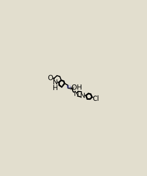 O=C1CCc2cc(/C=C/[C@H](O)CN3CCN(c4ccc(Cl)cc4)CC3)ccc2N1